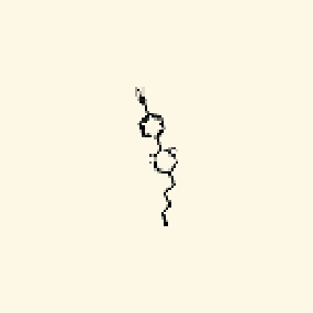 C=CCCCC1COC(c2ccc(C#N)cc2)OC1